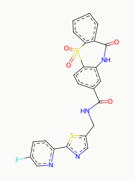 O=C(NCc1cnc(-c2ccc(F)cn2)s1)c1ccc2c(c1)NC(=O)c1ccccc1S2(=O)=O